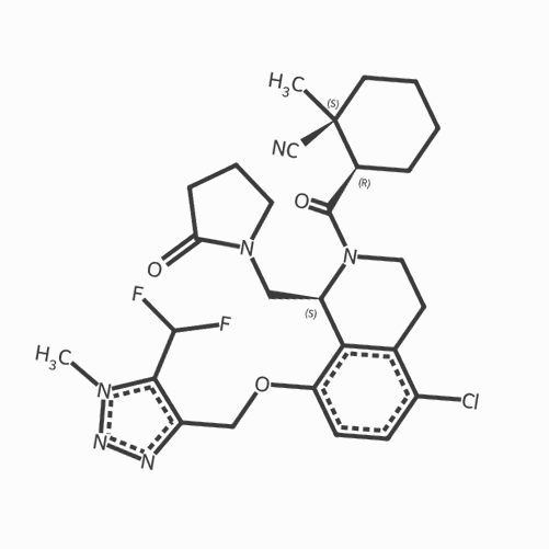 Cn1nnc(COc2ccc(Cl)c3c2[C@@H](CN2CCCC2=O)N(C(=O)[C@@H]2CCCC[C@]2(C)C#N)CC3)c1C(F)F